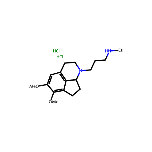 CCNCCCN1CCc2cc(OC)c(OC)c3c2C1CC3.Cl.Cl